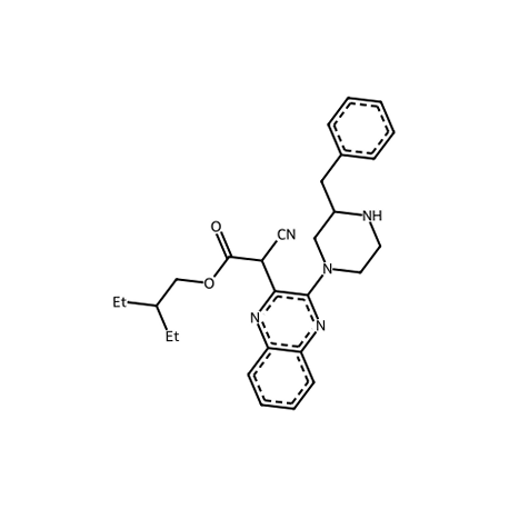 CCC(CC)COC(=O)C(C#N)c1nc2ccccc2nc1N1CCNC(Cc2ccccc2)C1